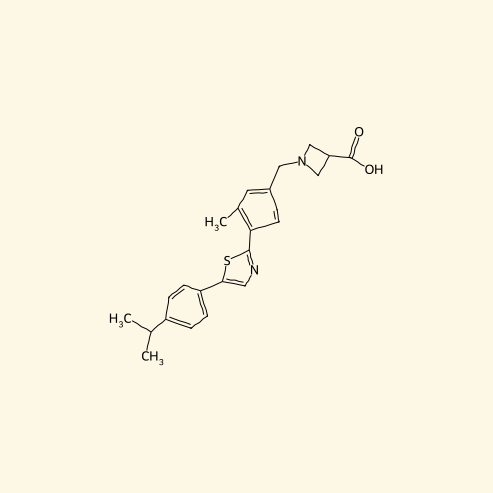 Cc1cc(CN2CC(C(=O)O)C2)ccc1-c1ncc(-c2ccc(C(C)C)cc2)s1